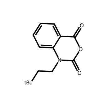 CC(C)(C)CCn1c(=O)oc(=O)c2ccccc21